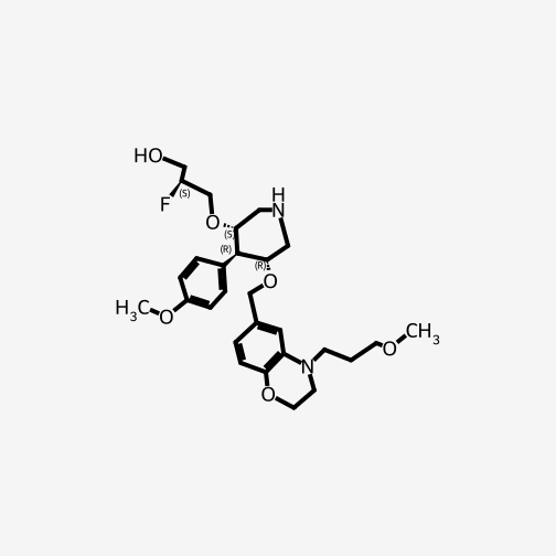 COCCCN1CCOc2ccc(CO[C@H]3CNC[C@@H](OC[C@@H](F)CO)[C@@H]3c3ccc(OC)cc3)cc21